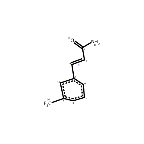 NC(=O)/C=C/c1cccc(C(F)(F)F)c1